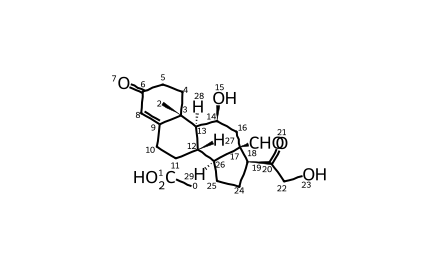 CC(=O)O.C[C@]12CCC(=O)C=C1CC[C@@H]1[C@@H]2[C@@H](O)C[C@]2(C=O)[C@@H](C(=O)CO)CC[C@@H]12